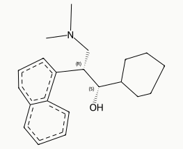 CN(C)C[C@@H](c1cccc2ccccc12)[C@@H](O)C1CCCCC1